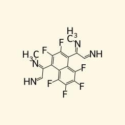 C/N=C(/C=N)c1c(F)c(F)c(/C(C=N)=N\C)c2c(F)c(F)c(F)c(F)c12